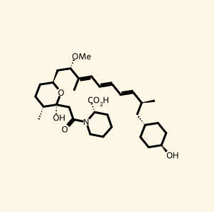 CO[C@@H](C[C@@H]1CC[C@@H](C)[C@](O)(CC(=O)N2CCCC[C@H]2C(=O)O)O1)/C(C)=C/C=C/C=C/[C@@H](C)C[C@H]1CC[C@H](O)CC1